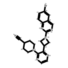 N#CC1CCN(c2nccnc2C2CN(c3ncc4cc(Br)ccc4n3)C2)CC1